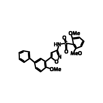 COc1ccc(-c2ccccc2)cc1-c1cc(NS(=O)(=O)c2c(OC)cccc2OC)no1